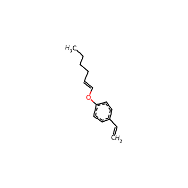 C=Cc1ccc(OC=CCCCC)cc1